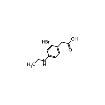 Br.CCNc1ccc(CC(=O)O)cc1